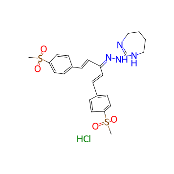 CS(=O)(=O)c1ccc(/C=C/C(/C=C/c2ccc(S(C)(=O)=O)cc2)=NNC2=NCCCCN2)cc1.Cl